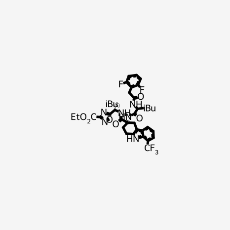 CCOC(=O)c1noc(C(NC(=O)[C@]2(NC(=O)C(NC(=O)Cc3c(F)cccc3F)C(C)CC)CCc3[nH]c4c(C(F)(F)F)cccc4c3C2)[C@@H](C)CC)n1